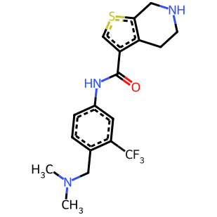 CN(C)Cc1ccc(NC(=O)c2csc3c2CCNC3)cc1C(F)(F)F